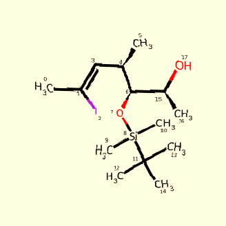 C/C(I)=C/[C@@H](C)[C@H](O[Si](C)(C)C(C)(C)C)[C@H](C)O